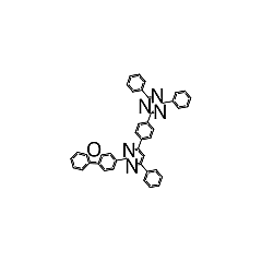 c1ccc(-c2cc(-c3ccc(-c4nc(-c5ccccc5)nc(-c5ccccc5)n4)cc3)nc(-c3ccc4c(c3)oc3ccccc34)n2)cc1